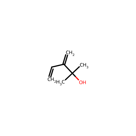 C=CC(=C)C(C)(C)O